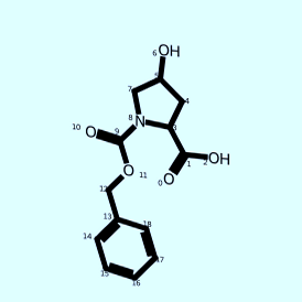 O=C(O)C1CC(O)CN1C(=O)OCc1ccccc1